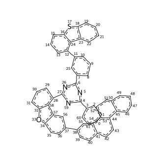 c1ccc(-c2nc(-c3cccc(-c4cccc5sc6ccccc6c45)c3)nc(-c3cccc4oc5ccc(-c6ccc7ccc8c9ccccc9ccc8c7c6)cc5c34)n2)cc1